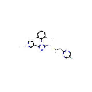 COc1cccc(OC)c1-n1c(NS(=O)(=O)[C@H](C)Cc2ncc(F)cn2)nnc1-c1ccn(C)c1